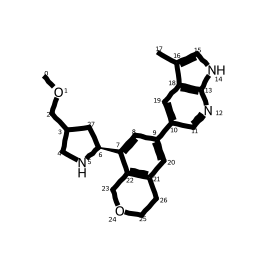 COCC1CN[C@H](c2cc(-c3cnc4[nH]cc(C)c4c3)cc3c2COCC3)C1